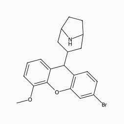 COc1cccc2c1Oc1cc(Br)ccc1C2C1CC2CCC(C1)N2